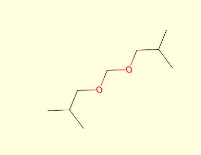 CC(C)COCOCC(C)C